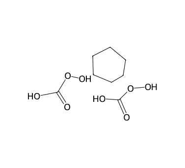 C1CCCCC1.O=C(O)OO.O=C(O)OO